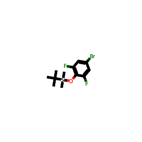 CC(C)(C)[Si](C)(C)Oc1c(F)cc(Br)cc1F